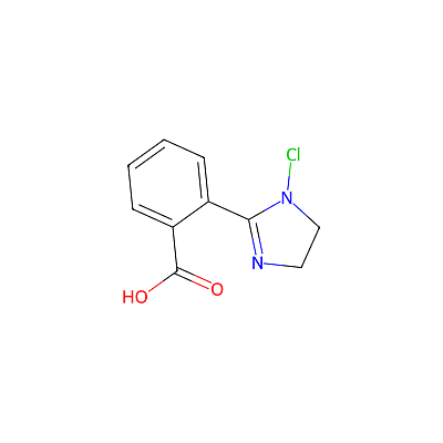 O=C(O)c1ccccc1C1=NCCN1Cl